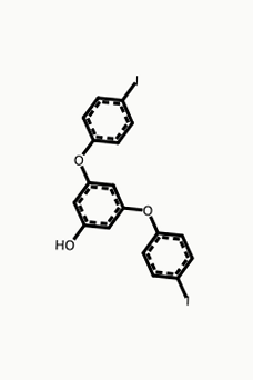 Oc1cc(Oc2ccc(I)cc2)cc(Oc2ccc(I)cc2)c1